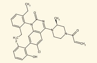 C=CC(=O)N1CCN(c2nc(=O)n(-c3c(CC)cccc3CC)c3cc(-c4c(O)cccc4F)c(Cl)cc23)[C@@H](C)C1